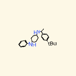 CC(NC1CCC(Nc2ccccc2)CC1)c1ccc(C(C)(C)C)cc1